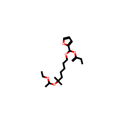 C=C(CC)OC(OCCCCCC(C)(C)OC(C)OCC)c1ccco1